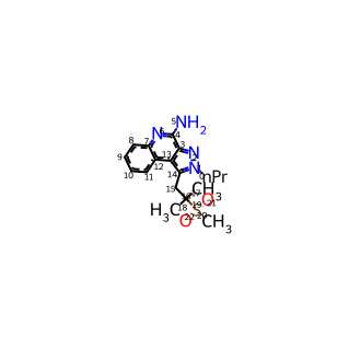 CCCn1nc2c(N)nc3ccccc3c2c1CC(C)(C)S(C)(=O)=O